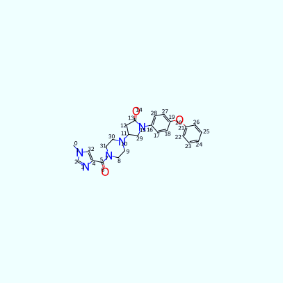 Cn1cnc(C(=O)N2CCN(C3CC(=O)N(c4ccc(Oc5ccccc5)cc4)C3)CC2)c1